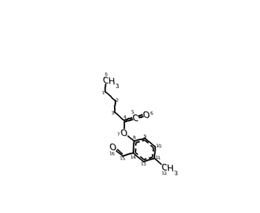 CCCCC(=C=O)Oc1ccc(C)cc1C=O